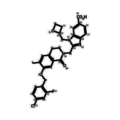 Cc1cc2c(cc1OCc1ccc(Cl)cc1F)C(=O)N(Cc1nc3ccc(C(=O)O)cc3n1C[C@@H]1CCO1)CC2